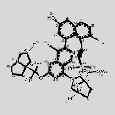 [2H]C([2H])(Oc1nc(N2C[C@@H]3CC[C@](COC)(C2)N3)c2cnc(-c3cc(O)cc4ccc(F)c(C#C[Si](C(C)C)(C(C)C)C(C)C)c34)c(F)c2n1)[C@@]12CCCN1C[C@H](F)C2